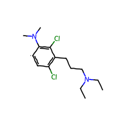 CCN(CC)CCCc1c(Cl)c[c]c(N(C)C)c1Cl